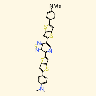 CNc1ccc(-c2cc3sc(-c4cnc(-c5cc6sc(-c7ccc(N(C)C)cc7)cc6s5)c5nsnc45)cc3s2)cc1